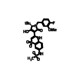 COc1cc(CN2C(=O)C(C3=CS(=O)(=O)c4cc(NS(C)(=O)=O)ccc4N3)=C(O)[C@@H]2C(C)(C)C)ccc1F